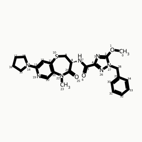 COc1nc(C(=O)N[C@H]2CSc3cc(N4CCCC4)ncc3N(C)C2=O)nn1Cc1ccccc1